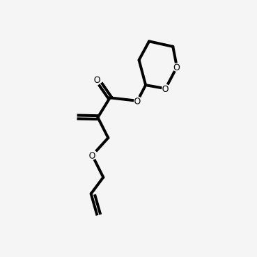 C=CCOCC(=C)C(=O)OC1CCCOO1